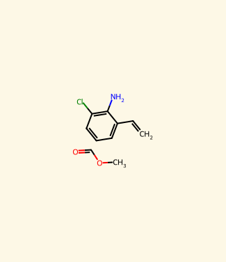 C=Cc1cccc(Cl)c1N.COC=O